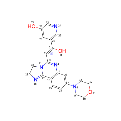 O/C(=C\C1=Nc2cc(N3CCOCC3)ccc2C2=NCCN12)c1cncc(O)c1